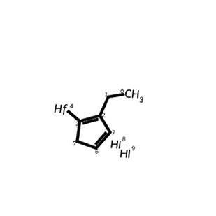 CCC1=[C]([Hf])CC=C1.I.I